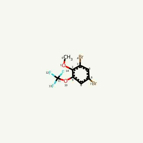 COc1c(Br)cc(Br)cc1OC(F)(F)F